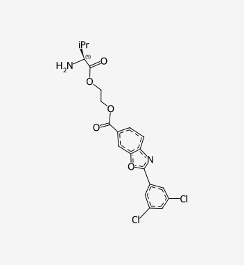 CC(C)[C@H](N)C(=O)OCCOC(=O)c1ccc2nc(-c3cc(Cl)cc(Cl)c3)oc2c1